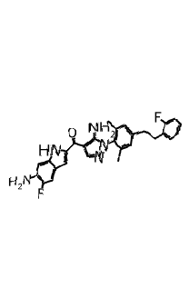 Cc1cc(CCc2ccccc2F)cc(C)c1-n1ncc(C(=O)c2cc3cc(F)c(N)cc3[nH]2)c1N